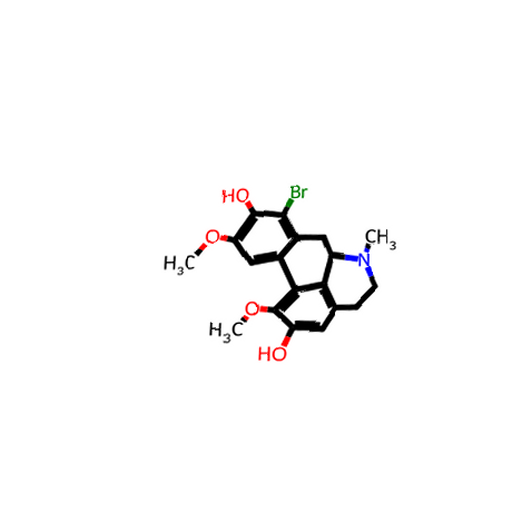 COc1cc2c(c(Br)c1O)CC1c3c(cc(O)c(OC)c3-2)CCN1C